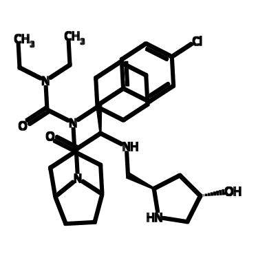 CCN(CC)C(=O)N(C1CCCCC1)C1CC2CCC(C1)N2C(=O)[C@@H](Cc1ccc(Cl)cc1)NC[C@H]1C[C@H](O)CN1